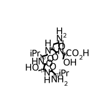 CC(C)[C@H](N)C(=O)N[C@@H](CO)C(=O)N[C@H](C(=O)N[C@@H](CC(N)=O)C(=O)N[C@@H](CO)C(=O)O)C(C)C